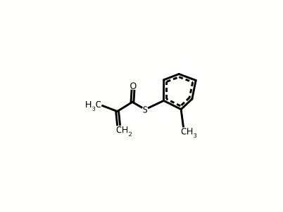 C=C(C)C(=O)Sc1ccccc1C